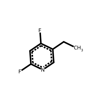 CCc1cnc(F)cc1F